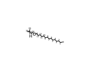 CCCCCCCCCCCCCCCOCNC(C)C